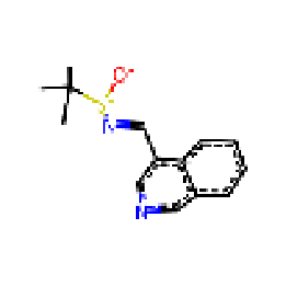 CC(C)(C)[S+]([O-])N=Cc1cncc2ccccc12